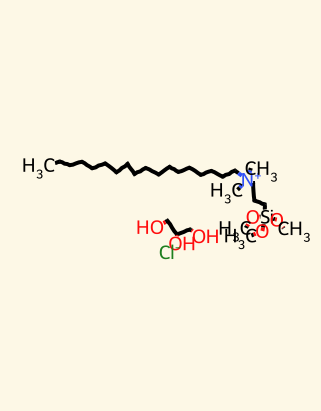 CCCCCCCCCCCCCCCCCC[N+](C)(C)CCC[Si](OC)(OC)OC.OCC(O)CO.[Cl-]